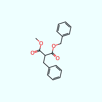 COC(=O)C(Cc1ccccc1)C(=O)OCc1ccccc1